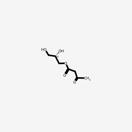 CC(=O)CC(=O)OC[C@@H](O)CO